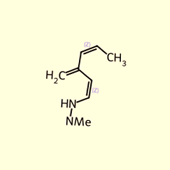 C=C(/C=C\C)/C=C\NNC